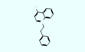 Nc1cc[n+](CCc2ccccc2)c2ccccc12.[I-]